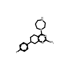 Nc1nc2c(c(N3CCCNCC3)n1)CCC(c1ccc(F)cc1)C2